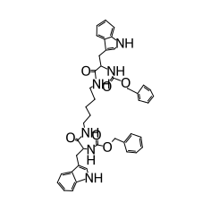 O=C(NC(Cc1c[nH]c2ccccc12)C(=O)NCCCCCNC(=O)C(Cc1c[nH]c2ccccc12)NC(=O)OCc1ccccc1)OCc1ccccc1